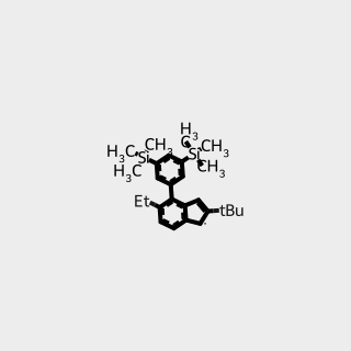 CCc1ccc2c(c1-c1cc([Si](C)(C)C)cc([Si](C)(C)C)c1)C=C(C(C)(C)C)[CH]2